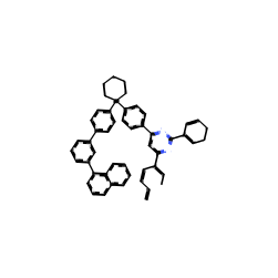 C=C/C=C\C(=C/C)c1cc(-c2ccc(C3(c4ccc(-c5cccc(-c6cccc7ccccc67)c5)cc4)CCCC[C@@H]3C)cc2)nc(C2=CCCC=C2)n1